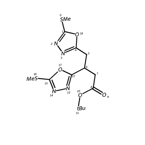 CSc1nnc(CC(CC(=O)OC(C)(C)C)c2nnc(SC)o2)o1